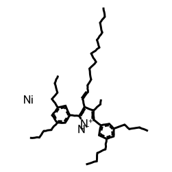 CCCCCCCCCCCC=CC1=C(c2cc(CCCC)cc(CCCC)c2)[N+](=[N-])C(c2cc(CCCC)cc(CCCC)c2)=C1CC.[Ni]